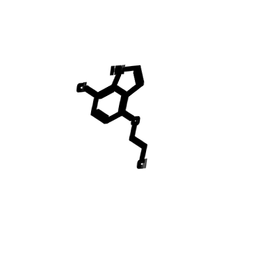 ClCCOc1ccc(Cl)c2[nH]ccc12